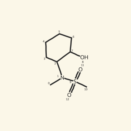 CN(C1CCCCC1O)S(C)(=O)=O